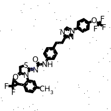 Cc1ccc(C2CC2(F)F)c(N2C(=O)CS/C2=N\C(=O)Nc2ccc(CCc3ncn(-c4ccc(OC(F)(F)F)cc4)n3)cc2)c1